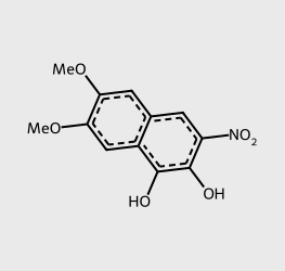 COc1cc2cc([N+](=O)[O-])c(O)c(O)c2cc1OC